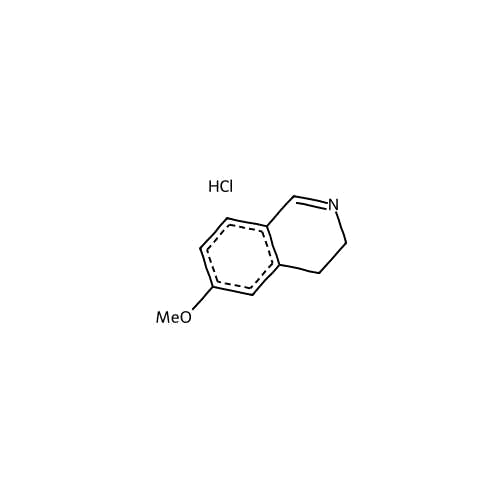 COc1ccc2c(c1)CCN=C2.Cl